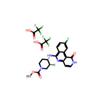 CC(C)(C)OC(=O)N1CC[C@H](Nc2nc3cc[nH]c(=O)c3c3cc(F)ccc23)[C@@H](F)C1.O=C(O)C(F)(F)F.O=C(O)C(F)(F)F